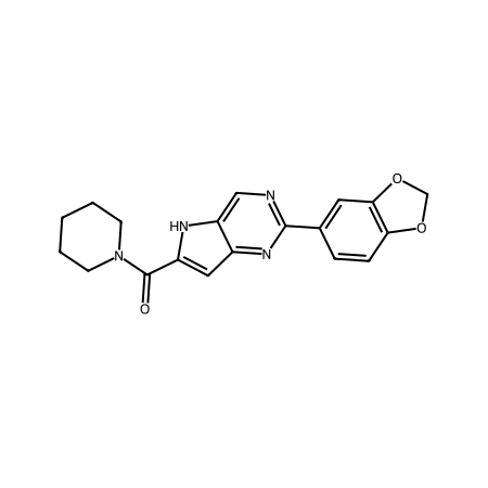 O=C(c1cc2nc(-c3ccc4c(c3)OCO4)ncc2[nH]1)N1CCCCC1